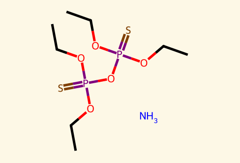 CCOP(=S)(OCC)OP(=S)(OCC)OCC.N